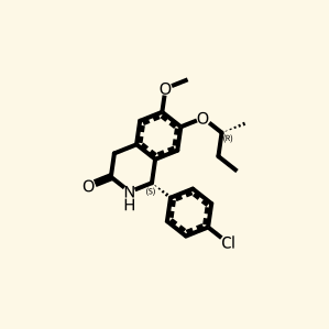 CC[C@@H](C)Oc1cc2c(cc1OC)CC(=O)N[C@H]2c1ccc(Cl)cc1